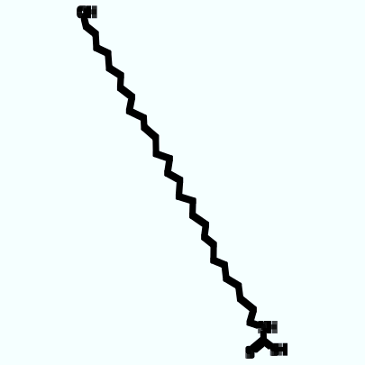 OCCCCCCCCCCCCCCCCCCCCCCCCCCCCCNC(=S)S